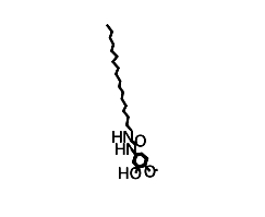 CCCCCCCCCCCCCCCCCCNC(=O)Nc1ccc(OC)c(O)c1